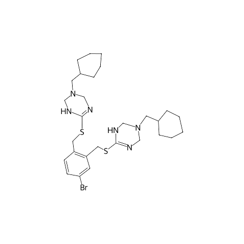 Brc1ccc(CSC2=NCN(CC3CCCCC3)CN2)c(CSC2=NCN(CC3CCCCC3)CN2)c1